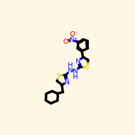 O=[N+]([O-])c1cccc(C2CSC(NNC3=NC(CC4CCCCC4)CS3)=N2)c1